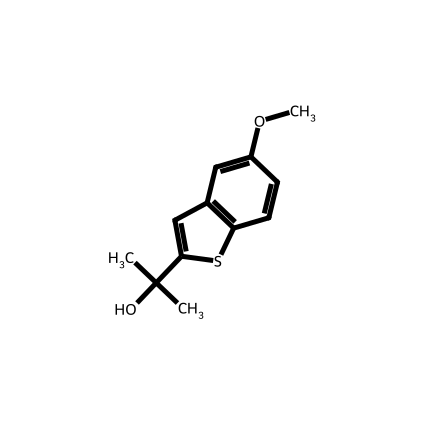 COc1ccc2sc(C(C)(C)O)cc2c1